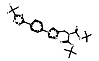 CC(C)(C)OC(=O)N(Cc1cn(-c2ccc(-c3noc(C(F)(F)F)n3)cc2)cn1)C(=O)OC(C)(C)C